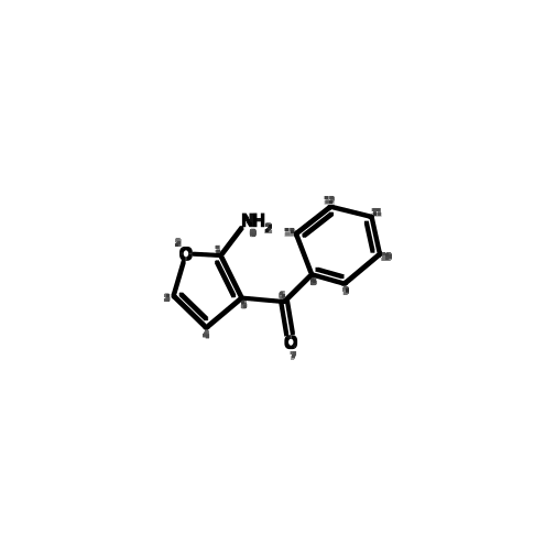 Nc1occc1C(=O)c1ccccc1